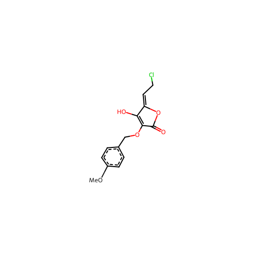 COc1ccc(COC2=C(O)C(=CCCl)OC2=O)cc1